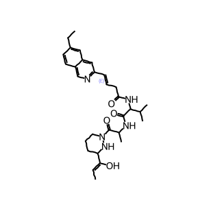 CC=C(O)C1CCCN(C(=O)C(C)NC(=O)C(NC(=O)C/C=C/c2cc3cc(CC)ccc3cn2)C(C)C)N1